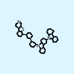 c1cc(-c2cccc(-n3c4ccccc4c4cc(-n5c6ccccc6c6ccccc65)ccc43)c2)cc(-c2cccc3c2sc2cnccc23)c1